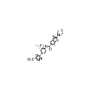 Cc1nnc(-c2ccc(NC(=O)c3cc4sc(N5CCOCC5)nc4s3)c(C)c2)o1